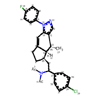 CC(=O)N(C(C)=O)C(C[C@H]1CCC2=Cc3c(cnn3-c3ccc(F)cc3)[C@H](C)[C@H]21)c1ccc(Cl)cc1